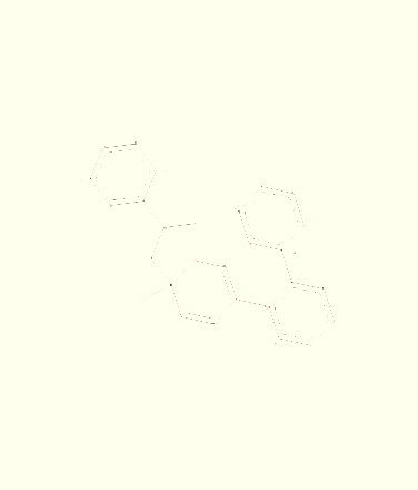 CC(CC1(C)C=CC(c2ccccc2-c2ccccc2)=CC1)c1ccccc1